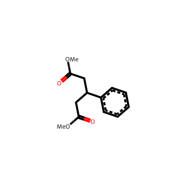 COC(=O)CC(CC(=O)OC)c1ccccc1